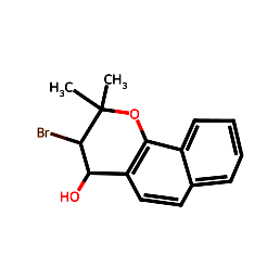 CC1(C)Oc2c(ccc3ccccc23)C(O)C1Br